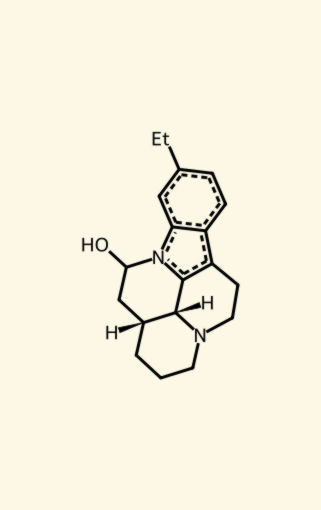 CCc1ccc2c3c4n(c2c1)C(O)C[C@H]1CCCN(CC3)[C@@H]41